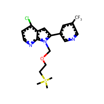 CS(C)(C)CCOCn1c(-c2cncc(C(F)(F)F)c2)cc2c(Cl)ccnc21